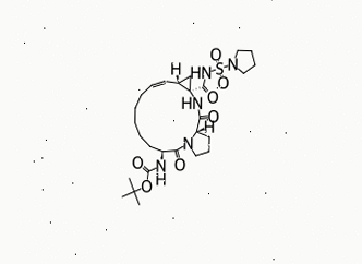 CC(C)(C)OC(=O)N[C@H]1CCCCC/C=C\[C@@H]2C[C@@]2(C(=O)NS(=O)(=O)N2CCCC2)NC(=O)[C@@H]2CCCN2C1=O